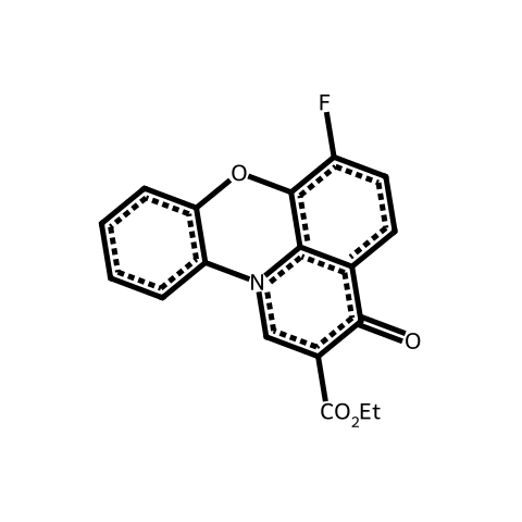 CCOC(=O)c1cn2c3c(c(F)ccc3c1=O)Oc1ccccc1-2